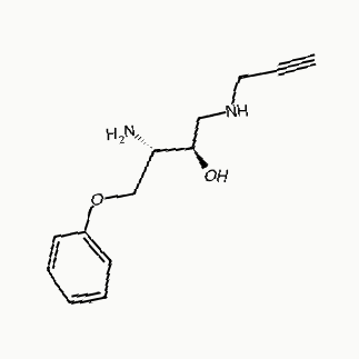 C#CCNC[C@@H](O)[C@@H](N)COc1ccccc1